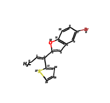 C/C=C(/c1cc2cc(Br)ccc2o1)c1cccs1